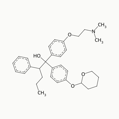 CCCC(c1ccccc1)C(O)(c1ccc(OCCN(C)C)cc1)c1ccc(OC2CCCCO2)cc1